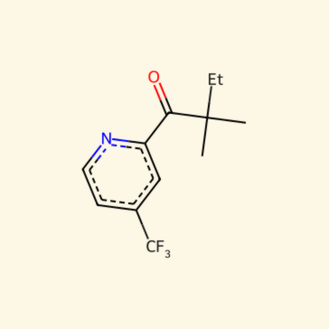 CCC(C)(C)C(=O)c1cc(C(F)(F)F)ccn1